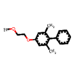 CCOCCOc1cc(C)c(-c2ccccc2)c(C)c1